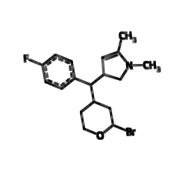 CC1=CC(C(c2ccc(F)cc2)C2CCOC(Br)C2)CN1C